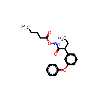 CCCCC(=O)ONC(=O)C(CC)c1cccc(Oc2ccccc2)c1